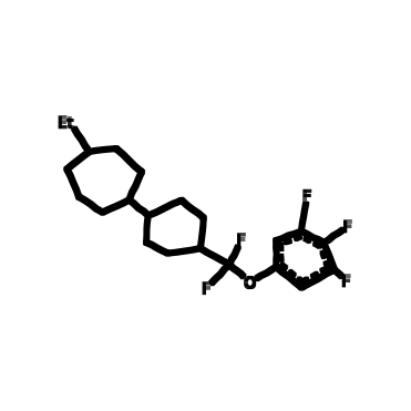 CCC1CCCC(C2CCC(C(F)(F)Oc3cc(F)c(F)c(F)c3)CC2)CC1